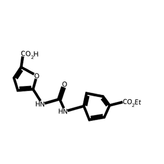 CCOC(=O)c1ccc(NC(=O)Nc2ccc(C(=O)O)o2)cc1